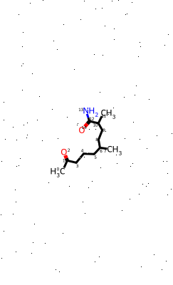 CC(=O)CCCC(C)CCC(C)C(N)=O